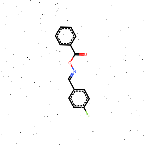 O=C(ON=Cc1ccc(F)cc1)c1ccccc1